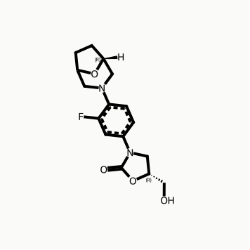 O=C1O[C@@H](CO)CN1c1ccc(N2CC3CC[C@H](C2)O3)c(F)c1